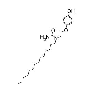 CCCCCCCCCCCCCCN(CCOc1ccc(O)cc1)C(N)=O